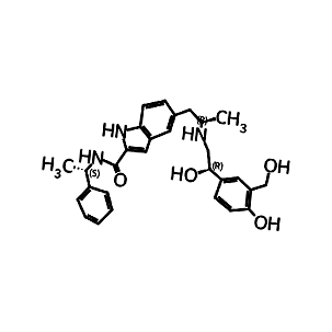 C[C@H](Cc1ccc2[nH]c(C(=O)N[C@@H](C)c3ccccc3)cc2c1)NC[C@H](O)c1ccc(O)c(CO)c1